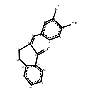 O=C1C(=Cc2ccc(F)c(F)c2)CCc2ccccc21